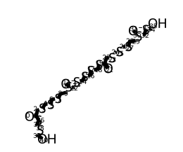 O=C(CSCSCSCC[S+]([O-])CSCSCSCSC(=O)CSCSCSCC[S+]([O-])CSCO)SCSCO